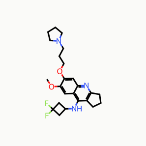 COc1cc2c(NC3CC(F)(F)C3)c3c(nc2cc1OCCCN1CCCC1)CCC3